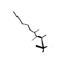 CCCCCC(I)C(I)=C(I)C(O)(O)O